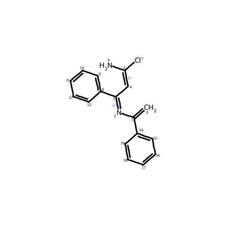 C=C(/N=C(\C=C(/N)Cl)c1ccccc1)c1ccccc1